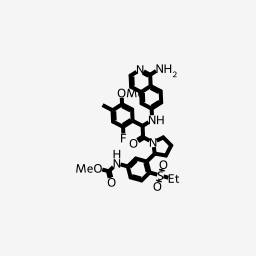 CCS(=O)(=O)c1ccc(NC(=O)OC)cc1C1CCCN1C(=O)C(Nc1ccc2c(N)nccc2c1)c1cc(OC)c(C)cc1F